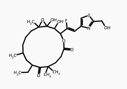 CCC1CC(C)CCCC2(C)OC2(O)C(O)C(C(F)=Cc2csc(CO)n2)OC(=O)CCC(C)(C)C1=O